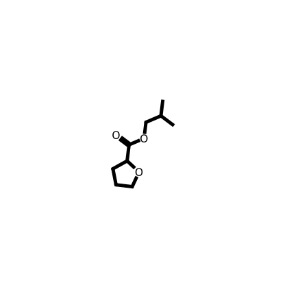 CC(C)COC(=O)C1CCCO1